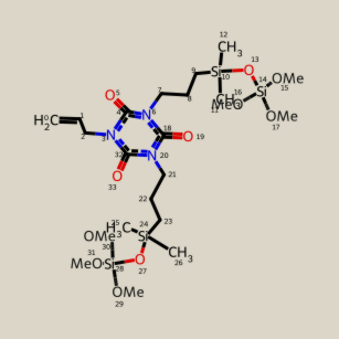 C=CCn1c(=O)n(CCC[Si](C)(C)O[Si](OC)(OC)OC)c(=O)n(CCC[Si](C)(C)O[Si](OC)(OC)OC)c1=O